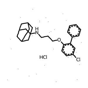 Cl.Clc1ccc(OCCCNC23CC4CC(CC(C4)C2)C3)c(-c2ccccc2)c1